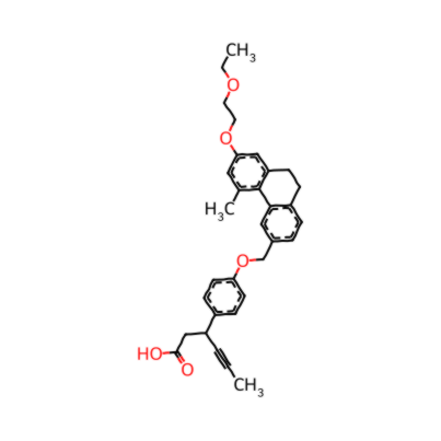 CC#CC(CC(=O)O)c1ccc(OCc2ccc3c(c2)-c2c(C)cc(OCCOCC)cc2CC3)cc1